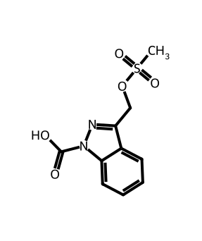 CS(=O)(=O)OCc1nn(C(=O)O)c2ccccc12